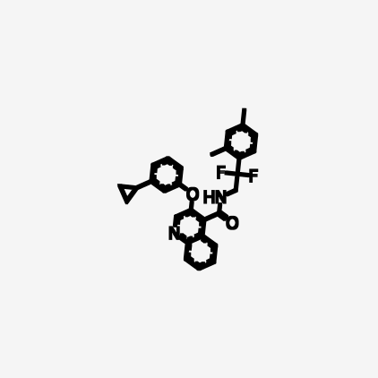 Cc1ccc(C(F)(F)CNC(=O)c2c(Oc3cccc(C4CC4)c3)cnc3ccccc23)c(C)c1